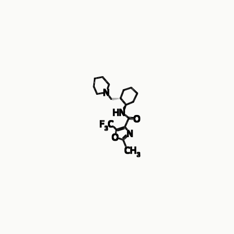 Cc1nc(C(=O)N[C@@H]2CCCC[C@H]2CN2CCCCC2)c(C(F)(F)F)o1